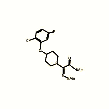 CN/N=C(\C(=O)NC)N1CCC(Oc2cc(F)ccc2Cl)CC1